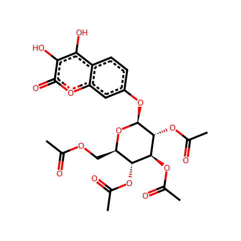 CC(=O)OC[C@H]1O[C@@H](Oc2ccc3c(O)c(O)c(=O)oc3c2)[C@H](OC(C)=O)[C@@H](OC(C)=O)[C@@H]1OC(C)=O